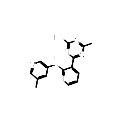 Cc1cncc(Nc2ncccc2-c2nc(C)nc(N)n2)c1